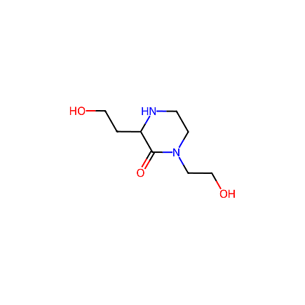 O=C1C(CCO)NCCN1CCO